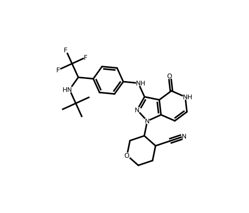 CC(C)(C)NC(c1ccc(Nc2nn(C3COCCC3C#N)c3cc[nH]c(=O)c23)cc1)C(F)(F)F